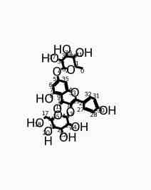 CC1OC(Oc2cc(O)c3c(=O)c(OC4OC(CO)C(O)C(O)C4O)c(-c4ccc(O)cc4)oc3c2)C(O)C(O)C1O